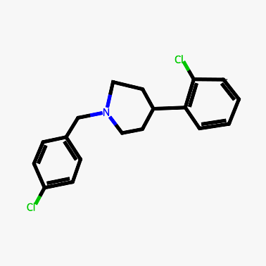 Clc1ccc(CN2CCC(c3ccc[c]c3Cl)CC2)cc1